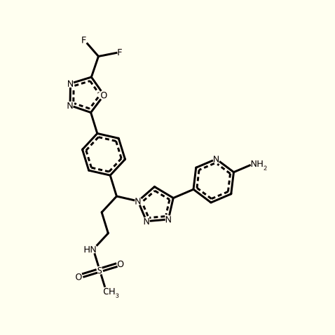 CS(=O)(=O)NCCC(c1ccc(-c2nnc(C(F)F)o2)cc1)n1cc(-c2ccc(N)nc2)nn1